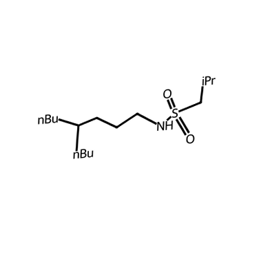 CCCCC(CCCC)CCCNS(=O)(=O)CC(C)C